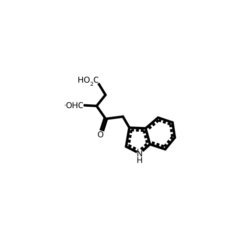 O=[C]C(CC(=O)O)C(=O)Cc1c[nH]c2ccccc12